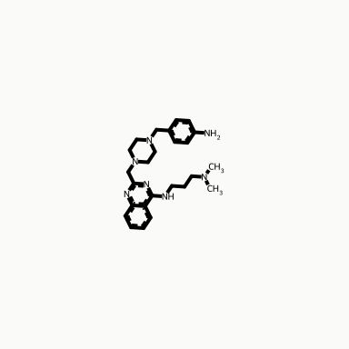 CN(C)CCCNc1nc(CN2CCN(Cc3ccc(N)cc3)CC2)nc2ccccc12